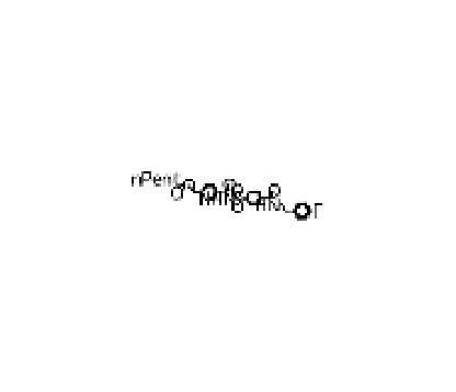 CCCCCC(=O)OCc1ccc(C(=O)NS(=O)(=O)c2ccc(C(=O)NCCc3ccc(F)cc3)cc2)cn1